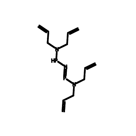 C=CCN(CC=C)P=NPN(CC=C)CC=C